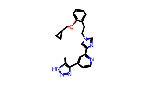 Cc1[nH]nnc1-c1ccnc(-c2cn(CCc3ccccc3OCC3CC3)cn2)c1